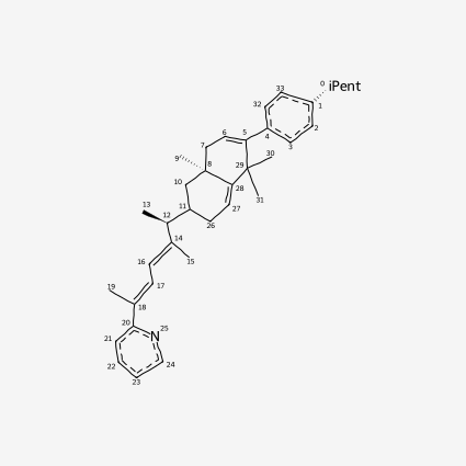 CCC[C@@H](C)c1ccc(C2=CC[C@]3(C)CC([C@H](C)/C(C)=C/C=C(\C)c4ccccn4)CC=C3C2(C)C)cc1